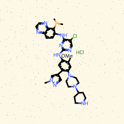 COc1cc(N2CCN(C3CCNCC3)CC2)c(-c2cnn(C)c2)cc1Nc1ncc(Cl)c(Nc2ccc3nccnc3c2P(C)C)n1.Cl